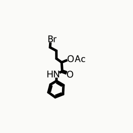 CC(=O)OC(CCCBr)C(=O)Nc1ccccc1